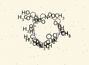 CO[C@H]1C[C@@H]2CCC(C)C(O2)C(=O)C(=O)N2CCCC3C2C(=O)O[C@@H](CC(=O)[C@H](C)/C=C(\C)C(C)[C@@H](OC)C(=O)C(C)C[C@H](C)C2CCC(/C=C/1C)ON2c1c(Cl)cccc1Cl)[C@H]3C[C@@H]1CCC(O)[C@H](OC)C1